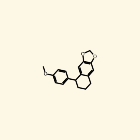 COc1ccc(C2CCCc3cc4c(cc32)OCO4)cc1